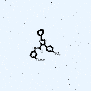 COc1cccc(NC(=O)c2sc(-c3ccccc3)nc2-c2ccc([N+](=O)[O-])cc2)c1